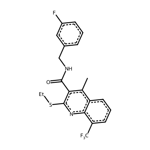 CCSc1nc2c(C(F)(F)F)cccc2c(C)c1C(=O)NCc1cccc(F)c1